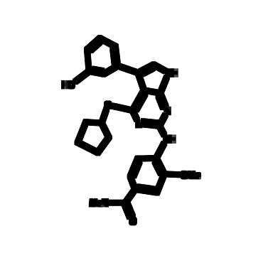 CNC(=O)c1ccc(Nc2nc(OC3CCCC3)c3c(-c4cccc(O)c4)c[nH]c3n2)c(OC)c1